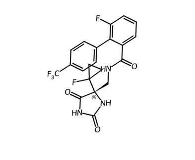 O=C1NC(=O)[C@](CNC(=O)c2cccc(F)c2-c2ccc(C(F)(F)F)cc2)(C2(F)CC2)N1